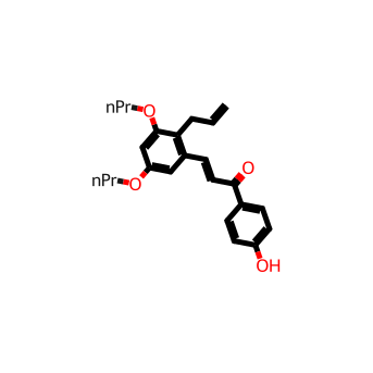 C=CCc1c(C=CC(=O)c2ccc(O)cc2)cc(OCCC)cc1OCCC